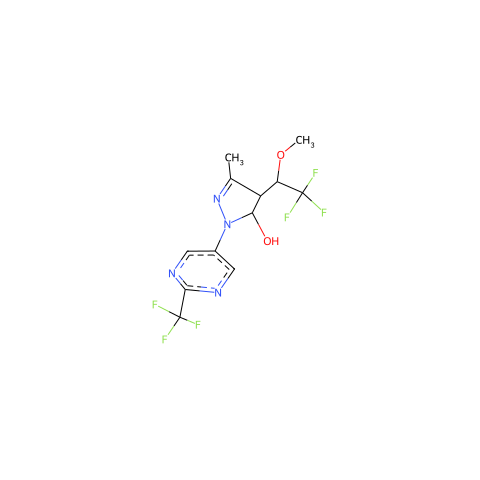 COC(C1C(C)=NN(c2cnc(C(F)(F)F)nc2)C1O)C(F)(F)F